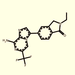 CCN1Cc2cc(-c3cnc4c(N)nc(C(F)(F)F)cn34)ccc2C1=O